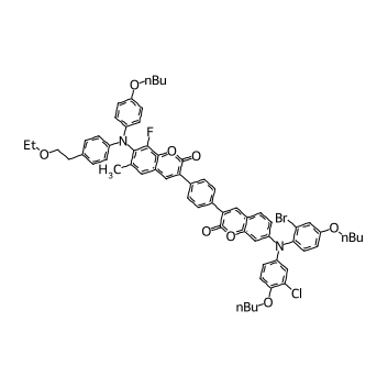 CCCCOc1ccc(N(c2ccc(CCOCC)cc2)c2c(C)cc3cc(-c4ccc(-c5cc6ccc(N(c7ccc(OCCCC)c(Cl)c7)c7ccc(OCCCC)cc7Br)cc6oc5=O)cc4)c(=O)oc3c2F)cc1